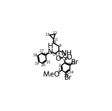 COc1cc(S(=O)(=O)NC(CCC2CC2)CNc2ccccc2)c(Br)cc1Br